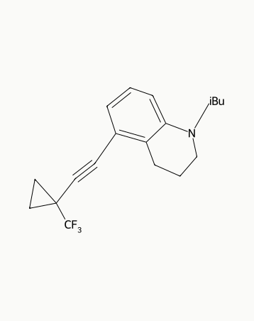 CCC(C)N1CCCc2c(C#CC3(C(F)(F)F)CC3)cccc21